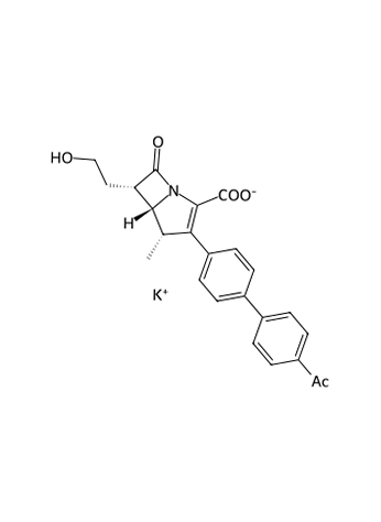 CC(=O)c1ccc(-c2ccc(C3=C(C(=O)[O-])N4C(=O)[C@@H](CCO)[C@H]4[C@H]3C)cc2)cc1.[K+]